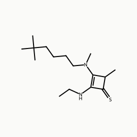 CCNC1=C(N(C)CCCCC(C)(C)C)C(C)C1=S